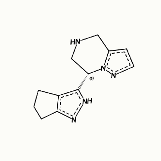 c1cc2n(n1)[C@H](c1[nH]nc3c1CCC3)CNC2